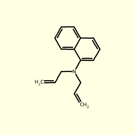 C=CCN(CC=C)c1cccc2ccccc12